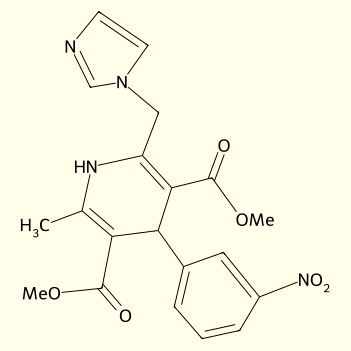 COC(=O)C1=C(C)NC(Cn2ccnc2)=C(C(=O)OC)C1c1cccc([N+](=O)[O-])c1